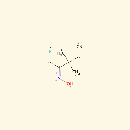 CC(C)(CC#N)/C(CF)=N\O